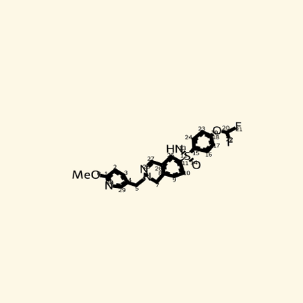 COc1ccc(CN2Cc3ccc([S@](=N)(=O)c4ccc(OC(F)F)cc4)cc3C=N2)cn1